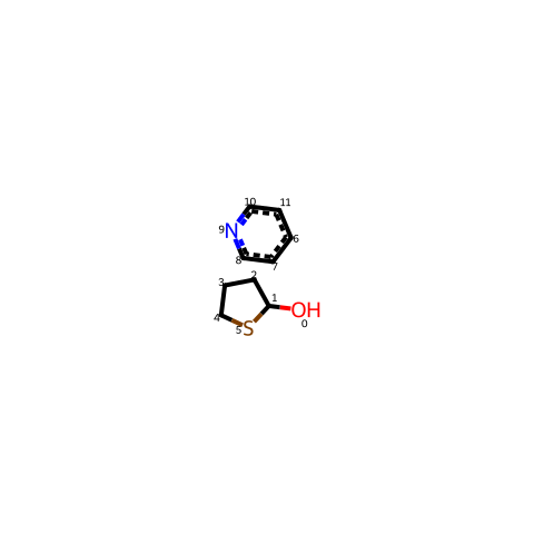 OC1CCCS1.c1ccncc1